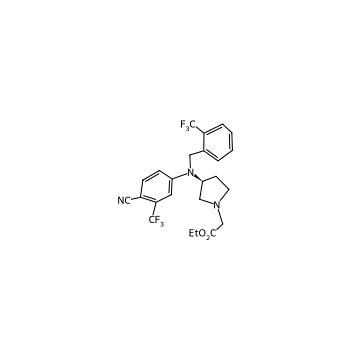 CCOC(=O)CN1CC[C@H](N(Cc2ccccc2C(F)(F)F)c2ccc(C#N)c(C(F)(F)F)c2)C1